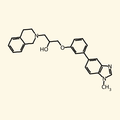 Cn1cnc2cc(-c3cccc(OCC(O)CN4CCc5ccccc5C4)c3)ccc21